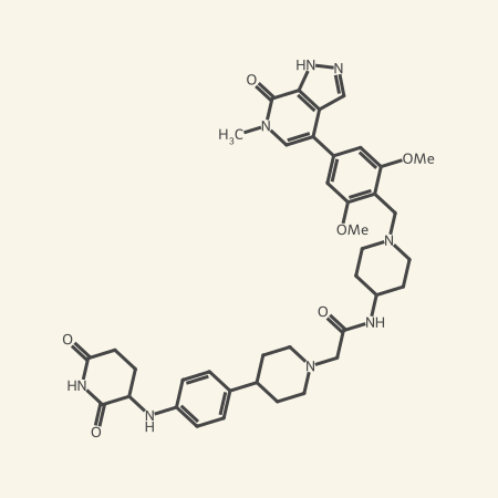 COc1cc(-c2cn(C)c(=O)c3[nH]ncc23)cc(OC)c1CN1CCC(NC(=O)CN2CCC(c3ccc(NC4CCC(=O)NC4=O)cc3)CC2)CC1